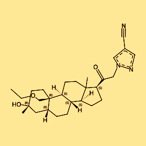 CCOC[C@]12CC[C@@](C)(O)C[C@H]1CC[C@H]1[C@@H]3CC[C@H](C(=O)Cn4cc(C#N)cn4)C3(C)CC[C@@H]12